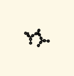 CC1(C)c2ccccc2-c2ccc(N(c3ccc(-c4ccccc4)cc3)c3ccc(-c4ccc5c(c4)c4cc(-c6ccc(N(c7ccc(-c8ccccc8)cc7)c7ccc(-c8ccccc8)cc7)cc6)ccc4n5-c4ccccc4)cc3)cc21